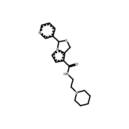 O=C(NCCN1CCCCC1)c1ccn2c1CSC2c1cccnc1